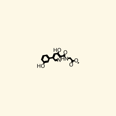 COC(=O)CNC(=O)c1ncc(-c2cccc(O)c2)cc1O